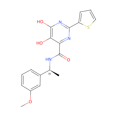 COc1cccc([C@H](C)NC(=O)c2nc(-c3cccs3)nc(O)c2O)c1